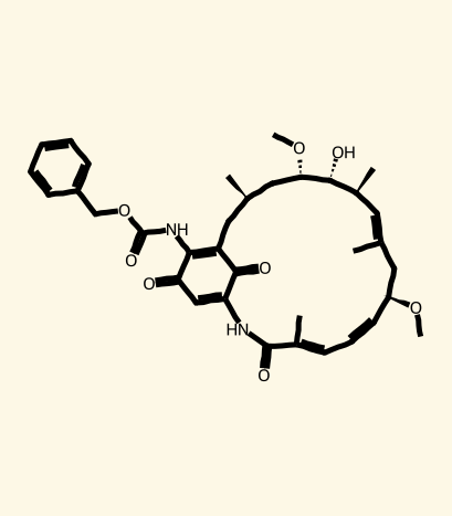 CO[C@H]1C[C@H](C)CC2=C(NC(=O)OCc3ccccc3)C(=O)C=C(NC(=O)/C(C)=C/C=C\[C@H](OC)C/C(C)=C/[C@H](C)[C@H]1O)C2=O